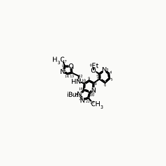 CCOc1ncccc1-c1cc(NCc2cnc(C)o2)c2c(n1)c(C)nn2[C@@H](C)CC